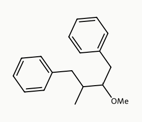 CO[C](Cc1ccccc1)C(C)Cc1ccccc1